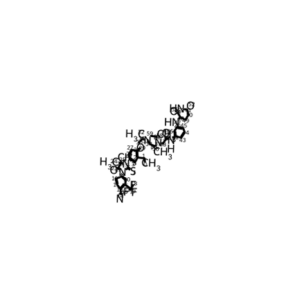 CCc1cc(N2C(=S)N(c3ccc(C#N)c(C(F)(F)F)c3)C(=O)C2(C)C)ccc1OCC(C)N1C[C@@H](C)N(CC(=O)Nc2cccc(NC3CCC(=O)NC3=O)c2)[C@@H](C)C1